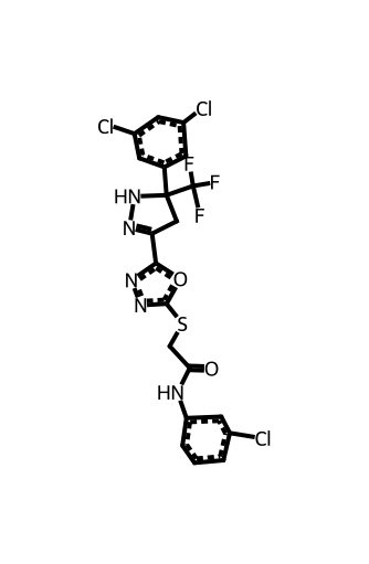 O=C(CSc1nnc(C2=NNC(c3cc(Cl)cc(Cl)c3)(C(F)(F)F)C2)o1)Nc1cccc(Cl)c1